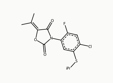 CC(C)=C1OC(=O)N(c2cc(SC(C)C)c(Cl)cc2F)C1=O